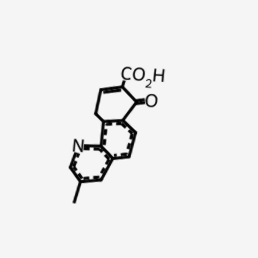 Cc1cnc2c3c(ccc2c1)C(=O)C(C(=O)O)=CC3